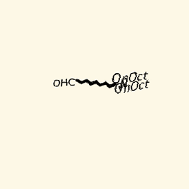 CCCCCCCCN(CCCCCCCC)OC(=O)CCCCCCCCC=O